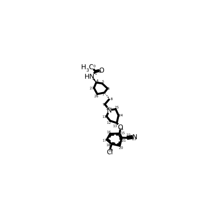 CC(=O)N[C@H]1CC[C@H](CCN2CCC(Oc3ccc(Cl)cc3C#N)CC2)CC1